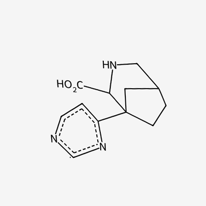 O=C(O)C1NCC2CCC1(c1ccn[c]n1)C2